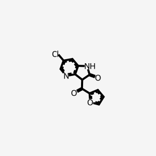 O=C1Nc2cc(Cl)cnc2C1C(=O)c1ccco1